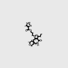 CCc1nn(CCCOC(=O)c2csnn2)c2c1C(=O)NCC1(CCOCC1)C2